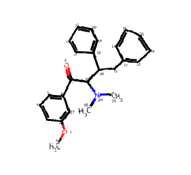 COc1cccc(C(=O)C(C(Cc2ccccc2)c2ccccc2)N(C)C)c1